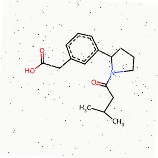 CC(C)CC(=O)N1CCCC1c1cccc(CC(=O)O)c1